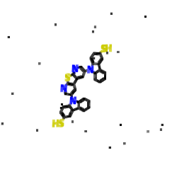 Sc1ccc2c(c1)c1ccccc1n2-c1cnc2sc3ncc(-n4c5ccccc5c5cc(S)ccc54)cc3c2c1